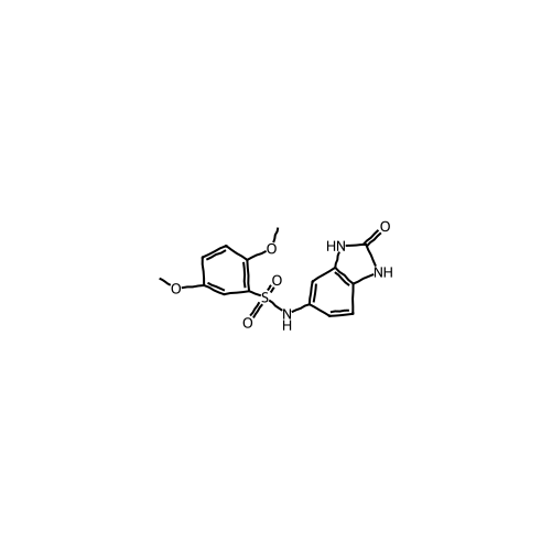 COc1ccc(OC)c(S(=O)(=O)Nc2ccc3[nH]c(=O)[nH]c3c2)c1